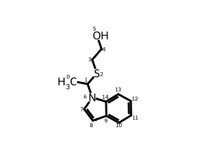 CC(SCCO)n1c[c]c2ccccc21